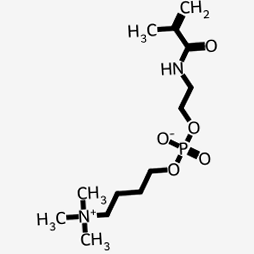 C=C(C)C(=O)NCCOP(=O)([O-])OCCCC[N+](C)(C)C